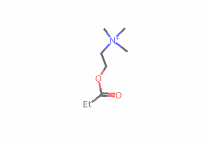 CCC(=O)OCC[N+](C)(C)C